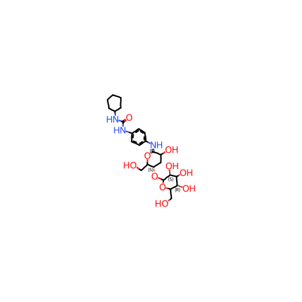 O=C(Nc1ccc(N[C@@H]2OC(CO)[C@@H](OC3OC(CO)[C@H](O)C(O)[C@@H]3O)CC2O)cc1)NC1CCCCC1